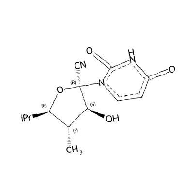 CC(C)[C@H]1O[C@@](C#N)(n2ccc(=O)[nH]c2=O)[C@@H](O)[C@@H]1C